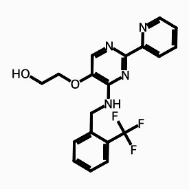 OCCOc1cnc(-c2ccccn2)nc1NCc1ccccc1C(F)(F)F